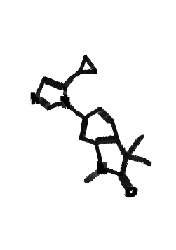 CN1C(=O)C(C)(C)c2ccc(-n3cncc3C3CC3)cc21